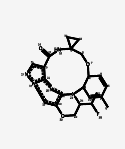 CC1=CC2C(C=C1)OCC1(CC1)NC(=O)c1cnn3cc4c(nc13)N2C(C(C)F)CO4